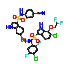 N#Cc1ccc(NS(=O)(=O)c2c[nH]c3cc(Br)ccc23)cc1.O=S(=O)(Nc1cc(F)c(Cl)cc1F)c1c[nH]c2c(OCC(F)F)c(Cl)ccc12